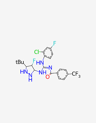 CC(C)(C)C1NNC(N/C(=N\C(=O)c2ccc(C(F)(F)F)cc2)Nc2ccc(F)cc2Cl)C1F